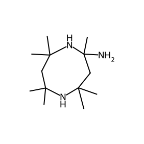 CC1(C)CC(C)(C)NC(C)(N)CC(C)(C)N1